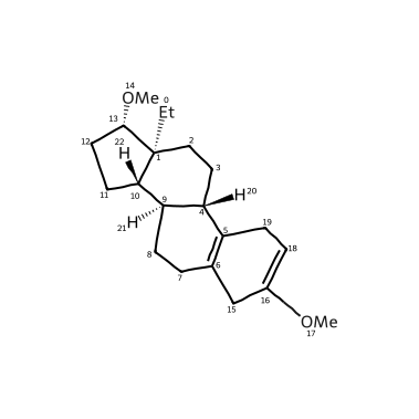 CC[C@]12CC[C@@H]3C4=C(CC[C@H]3[C@@H]1CC[C@@H]2OC)CC(OC)=CC4